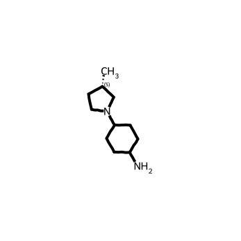 C[C@H]1CCN(C2CCC(N)CC2)C1